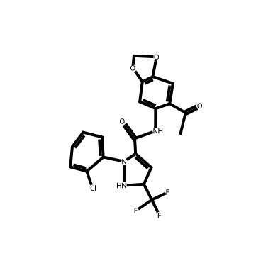 CC(=O)c1cc2c(cc1NC(=O)C1=CC(C(F)(F)F)NN1c1ccccc1Cl)OCO2